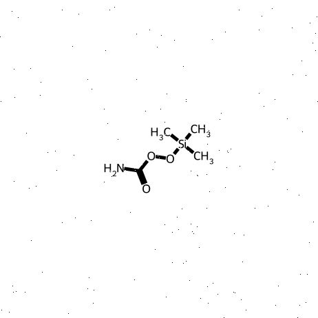 C[Si](C)(C)OOC(N)=O